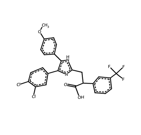 COc1ccc(-c2[nH]c(CC(C(=O)O)c3cccc(C(F)(F)F)c3)nc2-c2ccc(Cl)c(Cl)c2)cc1